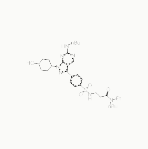 CCCCNc1ncc2c(-c3ccc(S(=O)(=O)NCCC(=O)N(CC)CCCC)cc3)nn(C3CCC(O)CC3)c2n1